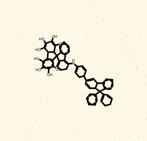 OC1=C(O)C2c3c(O)c(O)c(O)c(O)c3C3(C4=CCCC(NC5=CCC(C6=CC7c8ccccc8C(C8=CCCC=C8)(c8ccccc8)C7C=C6)C=C5)=C4c4ccccc43)C2C(O)=C1O